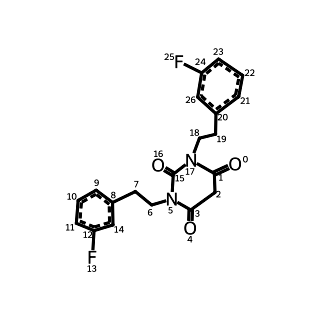 O=C1CC(=O)N(CCc2cccc(F)c2)C(=O)N1CCc1cccc(F)c1